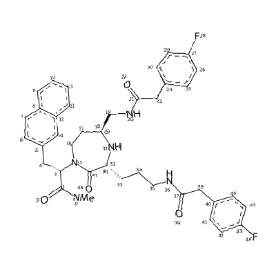 CNC(=O)C(Cc1ccc2ccccc2c1)N1CC[C@@H](CNC(=O)Cc2ccc(F)cc2)N[C@H](CCCNC(=O)Cc2ccc(F)cc2)C1=O